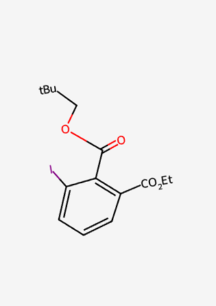 CCOC(=O)c1cccc(I)c1C(=O)OCC(C)(C)C